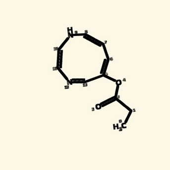 CCC(=O)Oc1ccc[nH]ccnc1